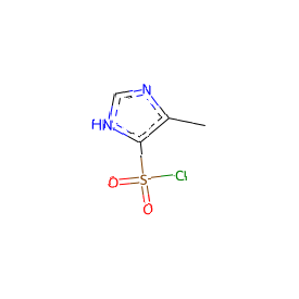 Cc1nc[nH]c1S(=O)(=O)Cl